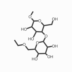 CCOCC1OC(OC2C(CO)OC(OC)C(O)C2O)C(O)C(O)C1O